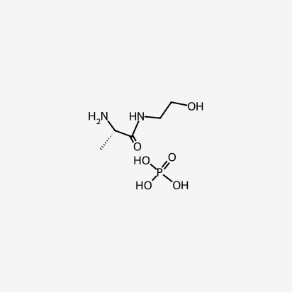 C[C@H](N)C(=O)NCCO.O=P(O)(O)O